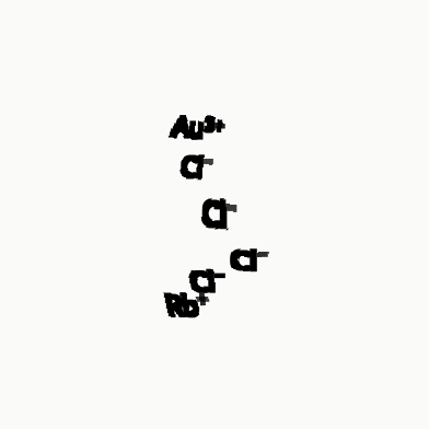 [Au+3].[Cl-].[Cl-].[Cl-].[Cl-].[Rb+]